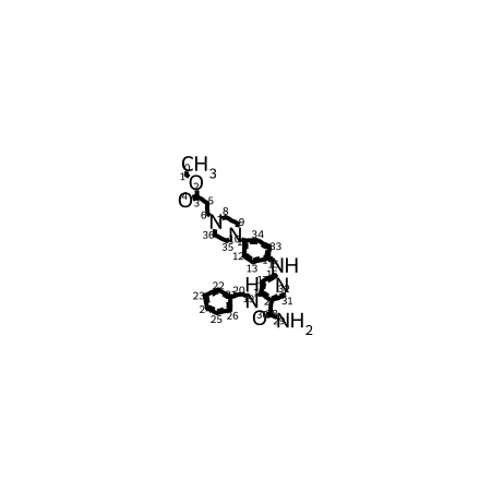 CCOC(=O)CCN1CCN(c2ccc(Nc3cc(NCc4ccccc4)c(C(N)=O)cn3)cc2)CC1